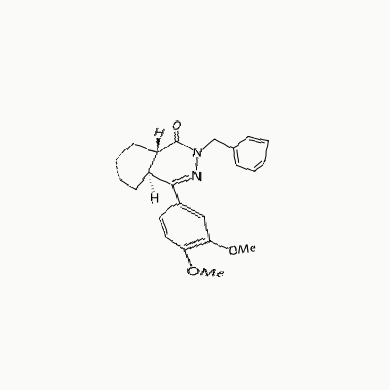 COc1ccc(C2=NN(Cc3ccccc3)C(=O)[C@H]3CCCC[C@H]23)cc1OC